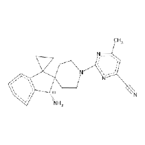 Cc1cc(C#N)nc(N2CCC3(CC2)[C@H](N)c2ccccc2C32CC2)n1